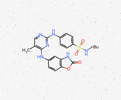 CCCCNS(=O)(=O)c1ccc(Nc2ncc(C)c(Nc3ccc4oc(=O)[nH]c4c3)n2)cc1